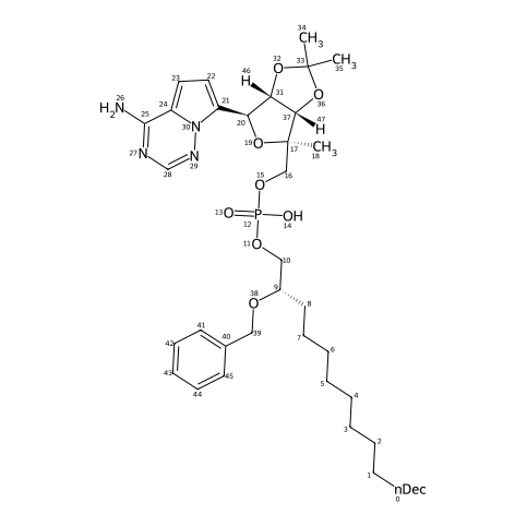 CCCCCCCCCCCCCCCCCC[C@@H](COP(=O)(O)OC[C@@]1(C)O[C@@H](c2ccc3c(N)ncnn23)[C@@H]2OC(C)(C)O[C@@H]21)OCc1ccccc1